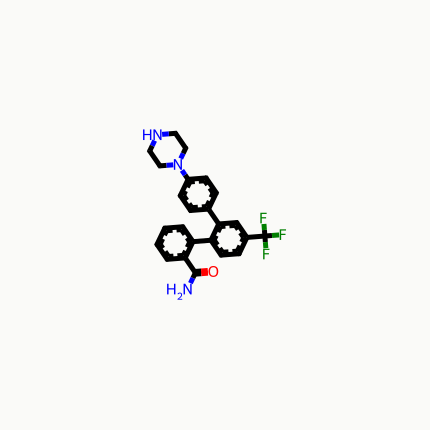 NC(=O)c1ccccc1-c1ccc(C(F)(F)F)cc1-c1ccc(N2CCNCC2)cc1